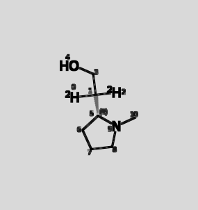 [2H]C([2H])(CO)[C@H]1CCCN1C